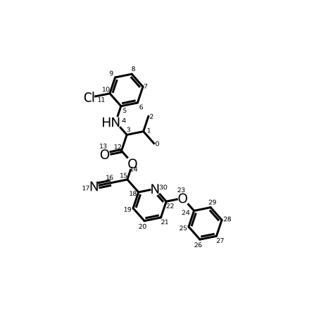 CC(C)C(Nc1ccccc1Cl)C(=O)OC(C#N)c1cccc(Oc2ccccc2)n1